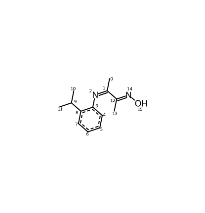 CC(=Nc1ccccc1C(C)C)/C(C)=N/O